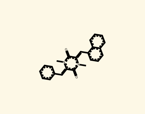 Cn1c(=O)/c(=C/c2cccc3ccccc23)n(C)c(=O)/c1=C/c1ccccc1